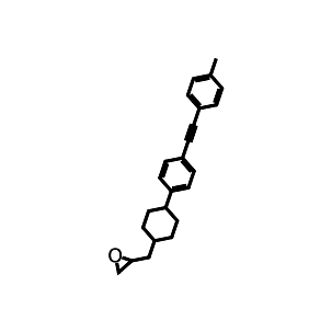 Cc1ccc(C#Cc2ccc(C3CCC(CC4CO4)CC3)cc2)cc1